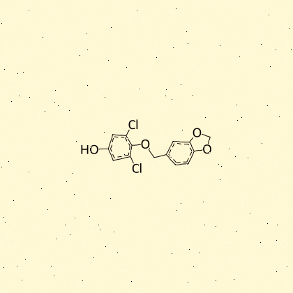 Oc1cc(Cl)c(OCc2ccc3c(c2)OCO3)c(Cl)c1